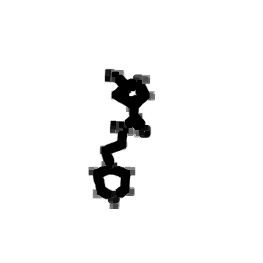 CCc1cc(C(=O)NCCN2CCOCC2)cs1